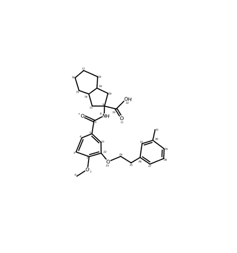 COc1ccc(C(=O)NC2(C(=O)O)CC3CCCCC3C2)cc1OCCc1cccc(C)c1